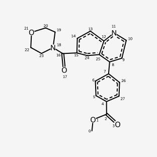 COC(=O)c1ccc(-c2ccnc3ccc(C(=O)N4CCOCC4)cc23)cc1